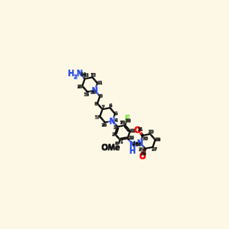 COc1cc(N2CCC(CCN3CCC(N)CC3)CC2)c(F)cc1NN1C(=O)CCCC1=O